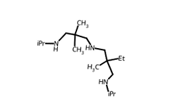 CCC(C)(CNCC(C)(C)CNC(C)C)CNC(C)C